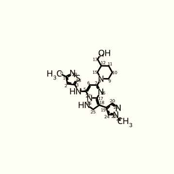 Cc1cc(NC2=CC(N3CCCC(CO)C3)=NC3=C(c4cnn(C)c4)CNN23)sn1